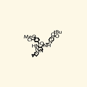 COc1ccc(CNc2nc(N3CCC4(CC4)C3)ncc2C(=O)NCCN2CCN(C(=O)OC(C)(C)C)CC2)cc1Cl